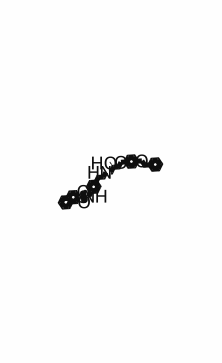 O=S(=O)(Nc1ccc(CCNC[C@H](O)COc2ccc(OCc3ccccc3)cc2)cc1)c1ccc2ccccc2c1